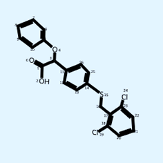 O=C(O)C(Oc1ccccc1)c1ccc(SCc2c(Cl)cccc2Cl)cc1